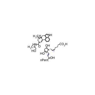 CCCCC[C@H](O)/C=C/[C@@H]1[C@@H](C/C=C\CCCC(=O)O)[C@@H](O)C[C@H]1O.C[C@@H](CO)NC(=O)[C@@H]1C=C2c3cccc4[nH]cc(c34)C[C@H]2N(C)C1